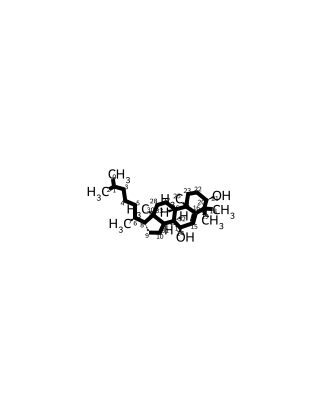 CC(C)CCC[C@@H](C)[C@H]1CC[C@H]2[C@@H]3[C@H](O)C=C4C(C)(C)[C@@H](O)CC[C@]4(C)[C@H]3CC[C@]12C